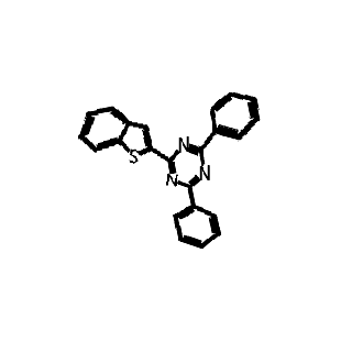 c1ccc(-c2nc(-c3ccccc3)nc(-c3cc4ccccc4s3)n2)cc1